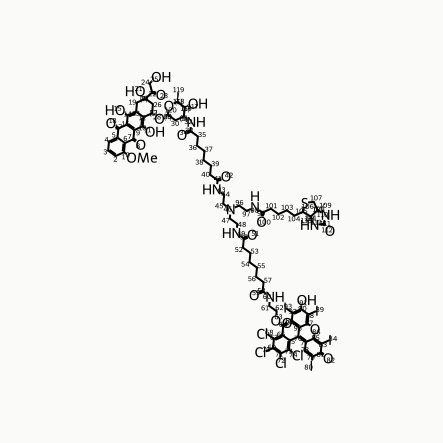 COc1cccc2c1C(=O)c1c(O)c3c(c(O)c1C2=O)C[C@@](O)(C(=O)CO)C[C@@H]3O[C@H]1C[C@H](NC(=O)CCCCCCC(=O)NCCN(CCNC(=O)CCCCCCC(=O)NCCOC(=O)c2c(Cl)c(Cl)c(Cl)c(Cl)c2-c2c3cc(I)c(=O)c(I)c-3oc3c(I)c(O)c(I)cc23)CCNC(=O)CCCCC2SC[C@@]3(C)NC(=O)N[C@@]23C)[C@H](O)[C@H](C)O1